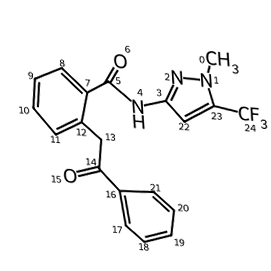 Cn1nc(NC(=O)c2ccccc2CC(=O)c2ccccc2)cc1C(F)(F)F